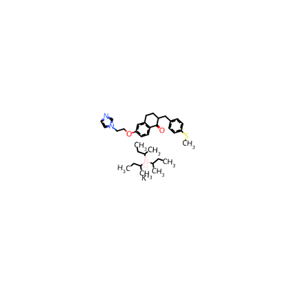 CCC(C)[BH-](C(C)CC)C(C)CC.CSc1ccc(CC2CCc3cc(OCCn4ccnc4)ccc3C2=O)cc1.[K+]